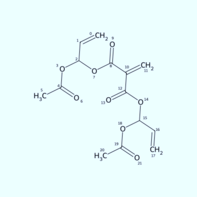 C=CC(OC(C)=O)OC(=O)C(=C)C(=O)OC(C=C)OC(C)=O